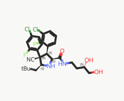 CC(C)(C)C[C@@H]1N[C@H](C(=O)NCC[C@H](O)CO)[C@H](c2cccc(Cl)c2F)[C@@]1(C#N)c1ccc(Cl)cc1F